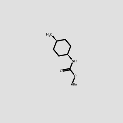 CCCCOC(=O)N[C@H]1CC[C@@H](C)CC1